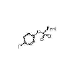 CCCC(C)S(=O)(=O)Oc1ccc(F)cc1